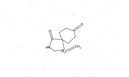 C=C.O=C1CCC2(CCNC2=O)CC1